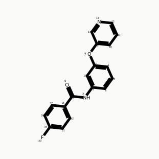 O=C(Nc1cccc(Oc2cccnc2)c1)c1ccc(F)cc1